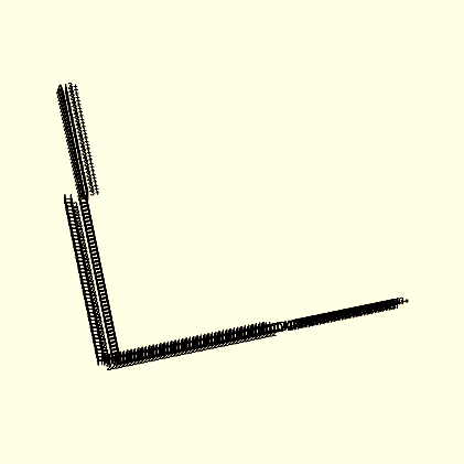 O.O.O.O.O.O.O.O.O.O.O.O.O.O.O.O.O.O.O.O.O.O.O.O.O.O.O.O.O.O.O.O.O.O.O.O.O.O.O.O.O.O.O.O.O.O.O.O.O.O.O.O.O.O.O.O.O.O.O.O.O.O.O.O.O.O.O.O.O.O.O.O.O.O.O.O.O.O.O.O.O.O.O.O.O.O.O.O.O.O.[Al+3].[Al+3].[Al+3].[Al+3].[Al+3].[Al+3].[Al+3].[Al+3].[Al+3].[Al+3].[Al+3].[Al+3].[Al+3].[Al+3].[Al+3].[Al+3].[Al+3].[Al+3].[Al+3].[Al+3].[Al+3].[Al+3].[Al+3].[Al+3].[Al+3].[Al+3].[Al+3].[Al+3].[Al+3].[Al+3].[Al+3].[Al+3].[Al+3].[Al+3].[Al+3].[Al+3].[Al+3].[Al+3].[Al+3].[Al+3].[Al+3].[Al+3].[Al+3].[Al+3].[Al+3].[Al+3].[Al+3].[Al+3].[Al+3].[Al+3].[Al+3].[Al+3].[Al+3].[Al+3].[Al+3].[Al+3].[Al+3].[Al+3].[Al+3].[Al+3]